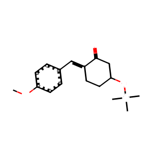 COc1ccc(C=C2CCC(O[Si](C)(C)C)CC2=O)cc1